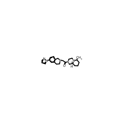 CC1CCC[C@H]2CN(C(=O)CN3CCc4cc(-n5cccn5)ccc4C3)CCN12